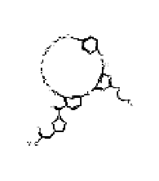 COC(=O)CC1CCN(C(=O)c2ccc3cc2OCCCCCCCCOc2ccc(cc2)CNc2nc(nc(OCC(F)(F)F)n2)N3)C1